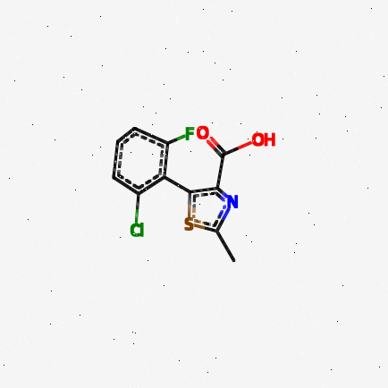 Cc1nc(C(=O)O)c(-c2c(F)cccc2Cl)s1